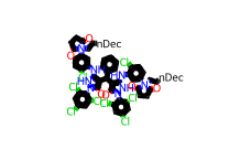 CCCCCCCCCCCC[N+]1(c2ccc(Cl)c(Nc3[nH]n(-c4c(Cl)cc(Cl)cc4Cl)c(=O)c3C(c3ccccc3)c3c(Nc4cc([N+]5(CCCCCCCCCCCC)C(=O)CCC5=O)ccc4Cl)[nH]n(-c4c(Cl)cc(Cl)cc4Cl)c3=O)c2)C(=O)CCC1=O